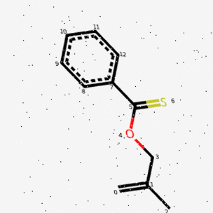 C=C(C)COC(=S)c1ccccc1